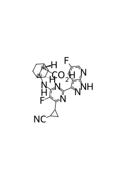 N#CC1CC1c1nc(-c2n[nH]c3ncc(F)cc23)nc(N[C@H]2C3CCC(CC3)[C@@H]2C(=O)O)c1F